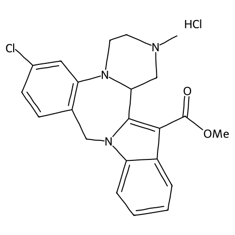 COC(=O)c1c2n(c3ccccc13)Cc1ccc(Cl)cc1N1CCN(C)CC21.Cl